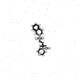 CC(C)(CCS(=O)(=O)N1CCc2ccccc2C1)[N+]1(O)CCOCC1